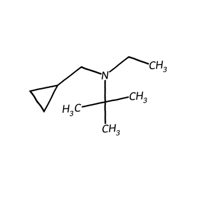 CCN(CC1CC1)C(C)(C)C